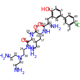 Cc1cc(-c2ccc(O)c(C[C@H](N)C(=O)N[C@@H](CCCN)C(=O)N(C)CC(=O)NCCN(CCN)CCN)c2)ccc1Cl